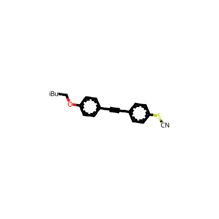 CCC(C)COc1ccc(C#Cc2ccc(SC#N)cc2)cc1